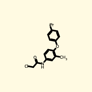 Cc1cc(NC(=O)CCl)ccc1Oc1ccc(C(C)C)cc1